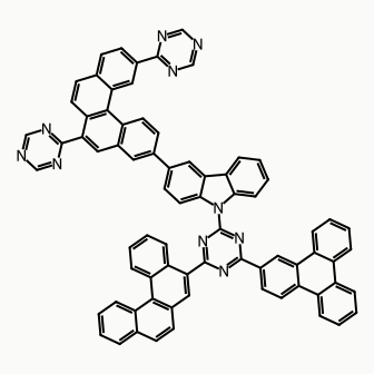 c1ccc2c(c1)ccc1cc(-c3nc(-c4ccc5c6ccccc6c6ccccc6c5c4)nc(-n4c5ccccc5c5cc(-c6ccc7c(c6)cc(-c6ncncn6)c6ccc8ccc(-c9ncncn9)cc8c67)ccc54)n3)c3ccccc3c12